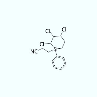 N#CCC[Si]1(c2ccccc2)CCC(Cl)C(Cl)C1Cl